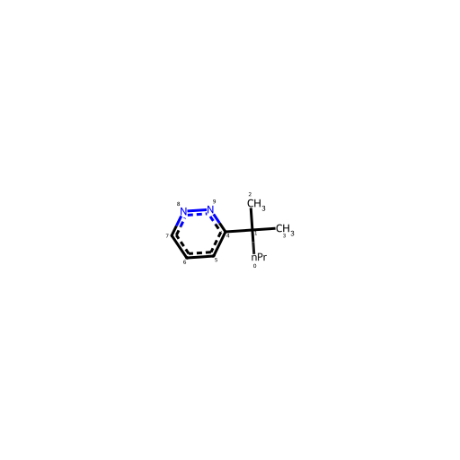 CCCC(C)(C)c1cccnn1